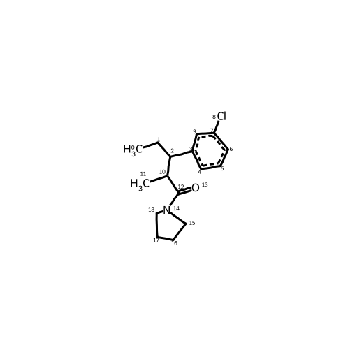 CCC(c1cccc(Cl)c1)C(C)C(=O)N1CCCC1